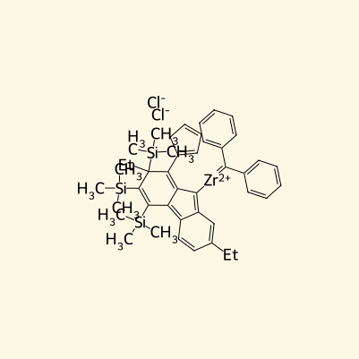 CCc1ccc2c(c1)=[C]([Zr+2]=[C](c1ccccc1)c1ccccc1)C1=C(C3=CC=CC3)C(CC)([Si](C)(C)C)C([Si](C)(C)C)=C([Si](C)(C)C)C=21.[Cl-].[Cl-]